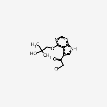 CC(C)(O)COc1ncnc2[nH]cc(C(=O)CCl)c12